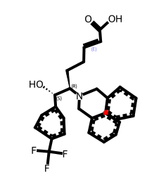 O=C(O)/C=C/CC[C@H]([C@@H](O)c1ccc(C(F)(F)F)cc1)N(Cc1ccccc1)Cc1ccccc1